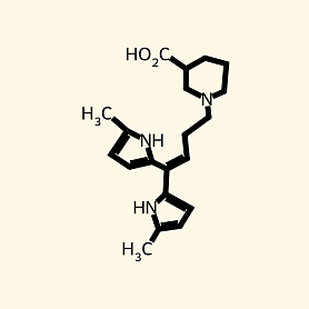 Cc1ccc(C(=CCCN2CCCC(C(=O)O)C2)c2ccc(C)[nH]2)[nH]1